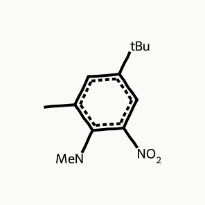 CNc1c(C)cc(C(C)(C)C)cc1[N+](=O)[O-]